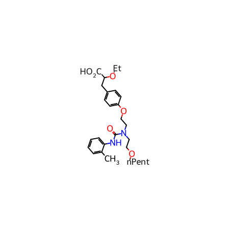 CCCCCOCCN(CCOc1ccc(CC(OCC)C(=O)O)cc1)C(=O)Nc1ccccc1C